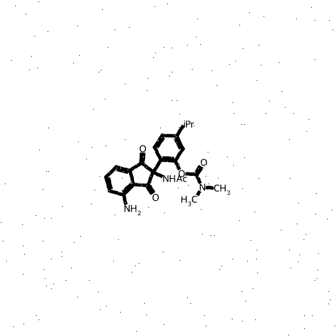 CC(=O)NC1(c2ccc(C(C)C)cc2OC(=O)N(C)C)C(=O)c2cccc(N)c2C1=O